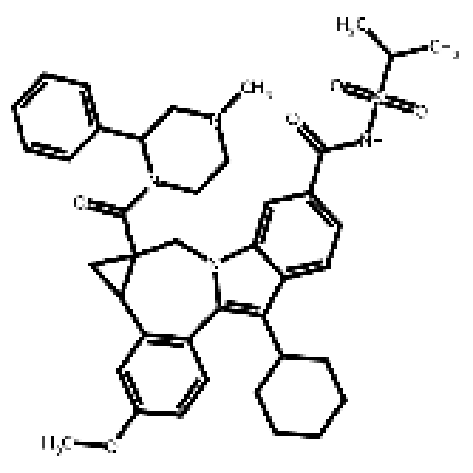 COc1ccc2c(c1)C1CC1(C(=O)N1CCN(C)CC1c1ccccc1)Cn1c-2c(C2CCCCC2)c2ccc(C(=O)NS(=O)(=O)C(C)C)cc21